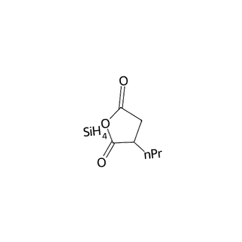 CCCC1CC(=O)OC1=O.[SiH4]